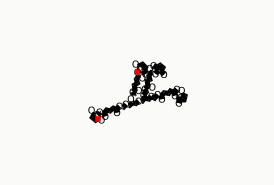 O=C(CCCC(=O)ON1C(=O)CCC1=O)OCOCC(COCC(COCOC(=O)CCCC(=O)ON1C(=O)CCC1=O)OCOC(=O)CCCC(=O)ON1C(=O)CCC1=O)OCOC(=O)CCCC(=O)ON1C(=O)CCC1=O